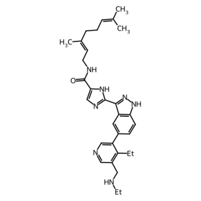 CCNCc1cncc(-c2ccc3[nH]nc(-c4ncc(C(=O)NC/C=C(\C)CCC=C(C)C)[nH]4)c3c2)c1CC